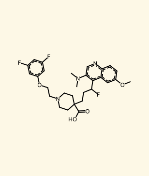 COc1ccc2ncc(N(C)C)c(C(F)CCC3(C(=O)O)CCN(CCOc4cc(F)cc(F)c4)CC3)c2c1